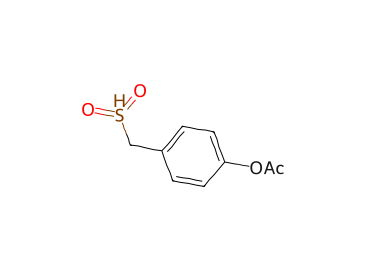 CC(=O)Oc1ccc(C[SH](=O)=O)cc1